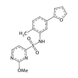 COc1nccc(S(=O)(=O)Nc2cc(-c3ccco3)ccc2C)n1